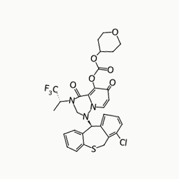 C[C@@H](N1CN([C@@H]2c3ccccc3SCc3c(Cl)cccc32)n2ccc(=O)c(OC(=O)OC3CCOCC3)c2C1=O)C(F)(F)F